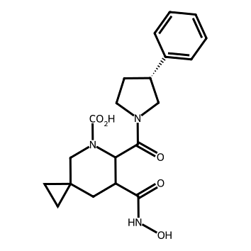 O=C(NO)C1CC2(CC2)CN(C(=O)O)C1C(=O)N1CC[C@H](c2ccccc2)C1